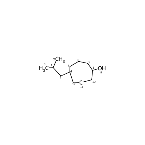 CC(C)CC1CCCC(O)CCC1